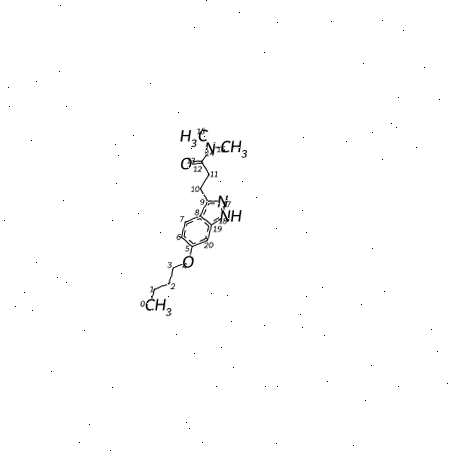 CCCCOc1ccc2c(CCC(=O)N(C)C)n[nH]c2c1